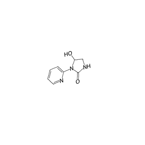 O=C1NCC(O)N1c1ccccn1